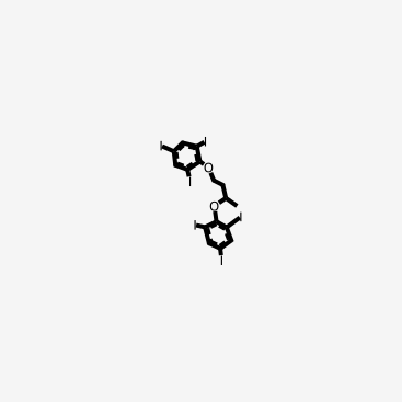 CC(CCOc1c(I)cc(I)cc1I)Oc1c(I)cc(I)cc1I